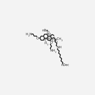 CCCCCCCCCCCCCCCCCCNCCC[C@@H](C)[C@H]1CC[C@H]2C3[C@H](OCCCC)CC4C[C@H](OCCCN)CC[C@]4(C)[C@H]3C[C@H](OCCCN)[C@]12C